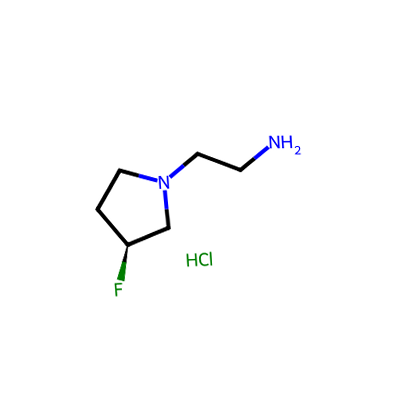 Cl.NCCN1CC[C@H](F)C1